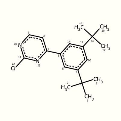 CC(C)(C)c1cc(-c2ccnc(Cl)n2)cc(C(C)(C)C)c1